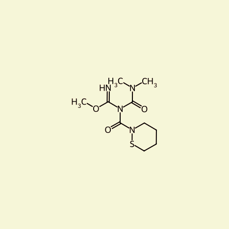 COC(=N)N(C(=O)N(C)C)C(=O)N1CCCCS1